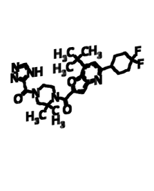 CC(C)(C)c1cc(C2CCC(F)(F)CC2)nc2cc(C(=O)N3CCN(C(=O)c4nnc[nH]4)CC3(C)C)oc12